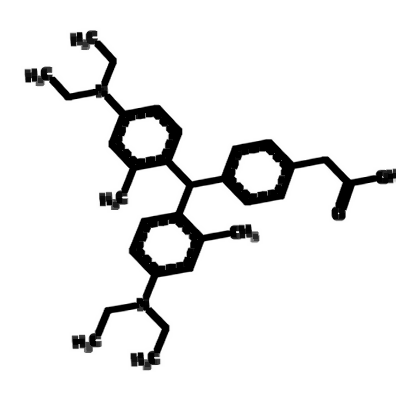 CCN(CC)c1ccc(C(c2ccc(CC(=O)O)cc2)c2ccc(N(CC)CC)cc2C)c(C)c1